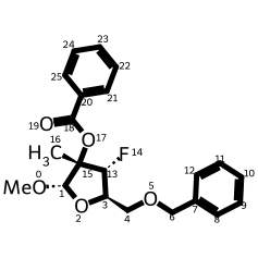 CO[C@H]1O[C@H](COCc2ccccc2)[C@@H](F)[C@@]1(C)OC(=O)c1ccccc1